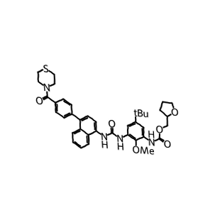 COc1c(NC(=O)Nc2ccc(-c3ccc(C(=O)N4CCSCC4)cc3)c3ccccc23)cc(C(C)(C)C)cc1NC(=O)OCC1CCCO1